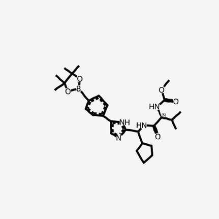 COC(=O)N[C@H](C(=O)NC(c1ncc(-c2ccc(B3OC(C)(C)C(C)(C)O3)cc2)[nH]1)C1CCCC1)C(C)C